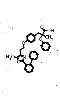 Cc1oc(-c2ccccc2-c2ccccc2)nc1CCOc1ccc(CC(C)(Oc2ccccc2)C(=O)O)cc1